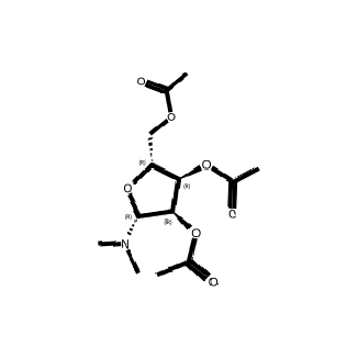 CC(=O)OC[C@H]1O[C@@H](N(C)C)[C@H](OC(C)=O)[C@@H]1OC(C)=O